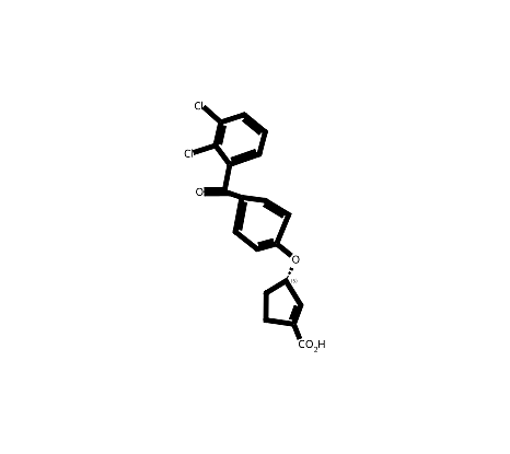 O=C(O)C1=C[C@@H](Oc2ccc(C(=O)c3cccc(Cl)c3Cl)cc2)CC1